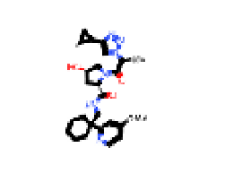 COc1ccnc(C2(CNC(=O)[C@@H]3C[C@@H](O)CN3C(=O)[C@@H](n3cc(C4CC4)nn3)C(C)(C)C)CCCCC2)c1